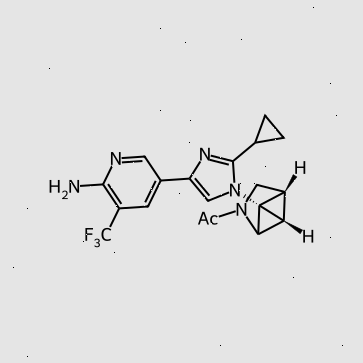 CC(=O)N1C[C@@H]2[C@@H]3C1[C@@]23n1cc(-c2cnc(N)c(C(F)(F)F)c2)nc1C1CC1